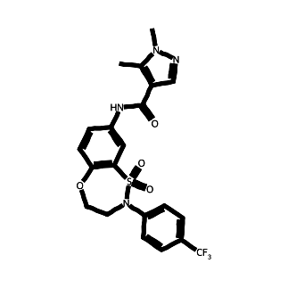 Cc1c(C(=O)Nc2ccc3c(c2)S(=O)(=O)N(c2ccc(C(F)(F)F)cc2)CCO3)cnn1C